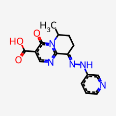 CC1CC/C(=N\Nc2cccnc2)c2ncc(C(=O)O)c(=O)n21